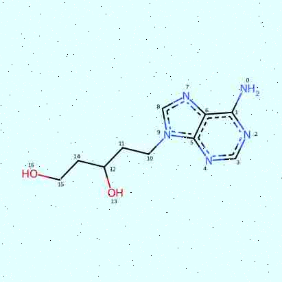 Nc1ncnc2c1ncn2CCC(O)CCO